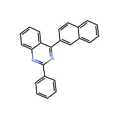 c1ccc(-c2nc(-c3ccc4ccccc4c3)c3ccccc3n2)cc1